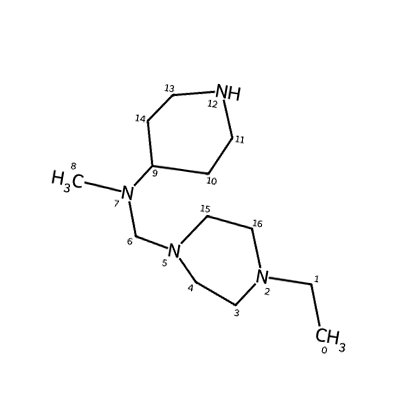 CCN1CCN(CN(C)C2CCNCC2)CC1